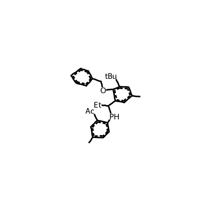 CCC(Pc1ccc(C)cc1C(C)=O)c1cc(C)cc(C(C)(C)C)c1OCc1ccccc1